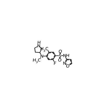 Cc1cc(S(=O)(=O)Nc2ccon2)c(F)cc1N(C)C1CCNC1